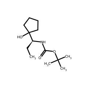 CC[C@H](NC(=O)OC(C)(C)C)C1(O)CCCC1